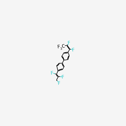 FC/C(F)=C(\F)c1ccc(-c2ccc(/C(F)=C(/F)C(F)(F)F)cc2)cc1